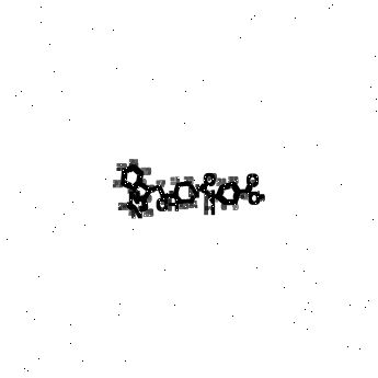 COC(=O)c1ccc(NC(=O)N2CCC(C(O)CC3c4ccccc4-n4cncc43)CC2)cc1